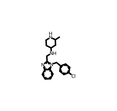 CC1CC(NCc2nc3ccccc3n2Cc2ccc(Cl)cc2)CCN1